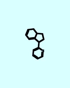 C1=CCC2CCC(c3ccccn3)C2=C1